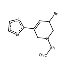 O=CBN1CC(c2ncco2)=CC(Br)C1